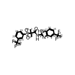 CC(C)(C(=O)Nc1nc2cc(C(F)(F)F)ccc2[nH]1)S(=O)(=O)c1cccc(C(F)(F)F)c1